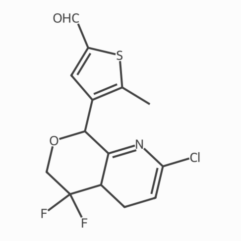 Cc1sc(C=O)cc1C1OCC(F)(F)C2CC=C(Cl)N=C12